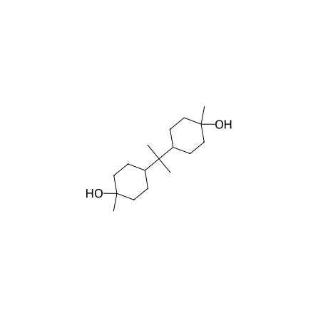 CC1(O)CCC(C(C)(C)C2CCC(C)(O)CC2)CC1